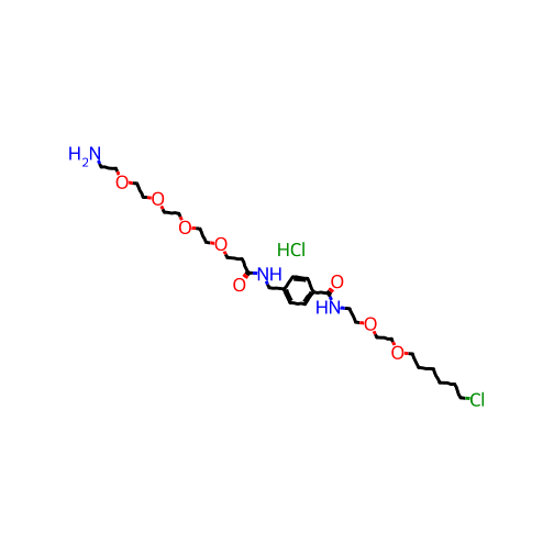 Cl.NCCOCCOCCOCCOCCC(=O)NCc1ccc(C(=O)NCCOCCOCCCCCCCl)cc1